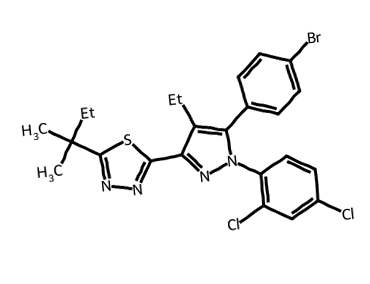 CCc1c(-c2nnc(C(C)(C)CC)s2)nn(-c2ccc(Cl)cc2Cl)c1-c1ccc(Br)cc1